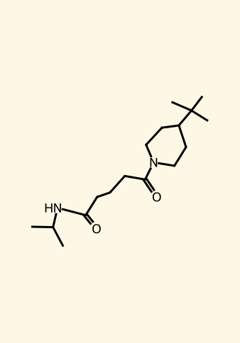 CC(C)NC(=O)CCCC(=O)N1CCC(C(C)(C)C)CC1